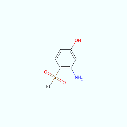 CCS(=O)(=O)c1ccc(O)cc1N